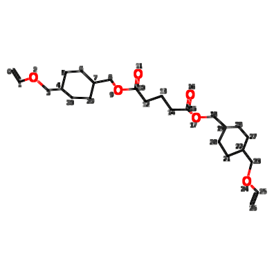 C=COCC1CCC(COC(=O)CCCC(=O)OCC2CCC(COC=C)CC2)CC1